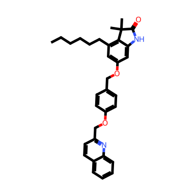 CCCCCCc1cc(OCc2ccc(OCc3ccc4ccccc4n3)cc2)cc2c1C(C)(C)C(=O)N2